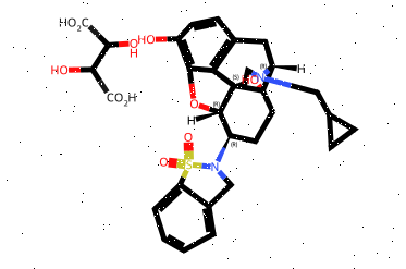 O=C(O)C(O)C(O)C(=O)O.O=S1(=O)c2ccccc2CN1[C@@H]1CCC2(O)[C@H]3Cc4ccc(O)c5c4[C@@]2(CCN3CC2CC2)[C@H]1O5